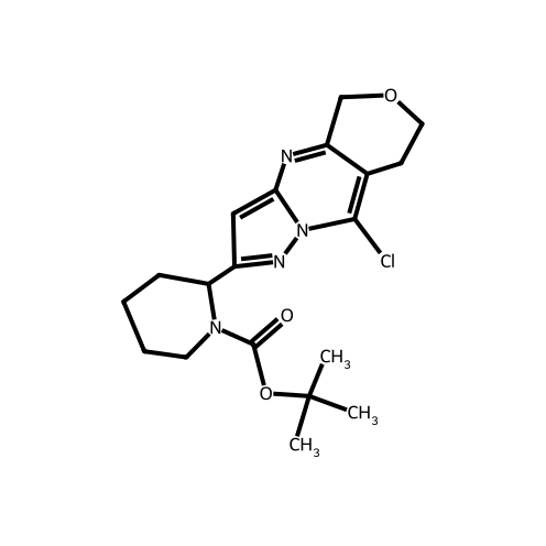 CC(C)(C)OC(=O)N1CCCCC1c1cc2nc3c(c(Cl)n2n1)CCOC3